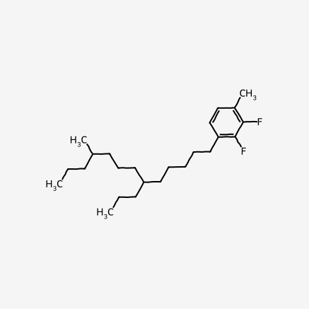 CCCC(C)CCCC(CCC)CCCCCc1ccc(C)c(F)c1F